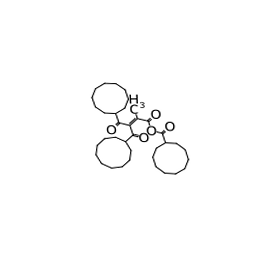 CC(C(=O)OC(=O)C1CCCCCCCCC1)=C(C(=O)C1CCCCCCCCC1)C(=O)C1CCCCCCCCC1